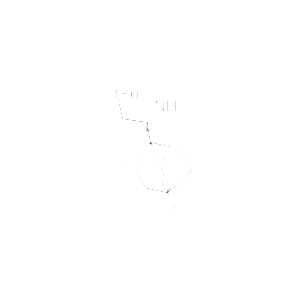 CC(C)(C)C[C@H](N)C12OCC(C)(CO1)CO2